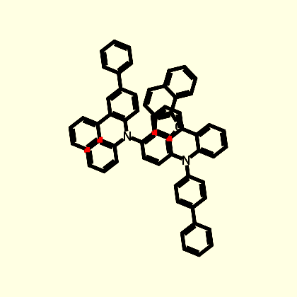 c1ccc(-c2ccc(N(c3ccccc3-c3ccccc3)c3ccc(N(c4ccccc4)c4ccc(-c5ccccc5)cc4-c4ccccc4)c4c3oc3c5ccccc5ccc34)cc2)cc1